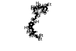 CCN[C@H]1C[C@H](C)S(=O)(=O)c2sc(S(=O)(=O)NC(C)(CC)C(=O)[C@H](C)OC(C)(CC)C(=O)CCC(=O)Nc3ccc4c(c3)/C(=C/c3[nH]c(C)c(NCCN(CC)CC)c3C)C(=O)N4)cc21